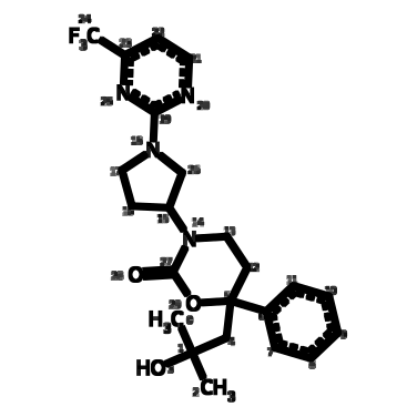 CC(C)(O)CC1(c2ccccc2)CCN(C2CCN(c3nccc(C(F)(F)F)n3)C2)C(=O)O1